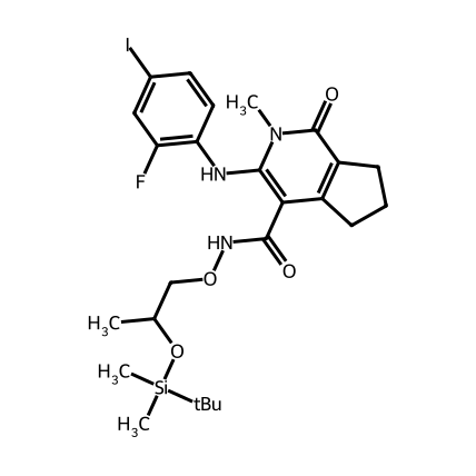 CC(CONC(=O)c1c2c(c(=O)n(C)c1Nc1ccc(I)cc1F)CCC2)O[Si](C)(C)C(C)(C)C